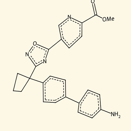 COC(=O)c1ccc(-c2nc(C3(c4ccc(-c5ccc(N)cc5)cc4)CCC3)no2)cn1